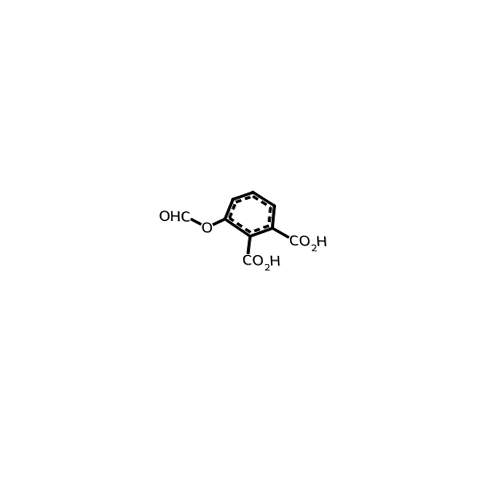 O=COc1cccc(C(=O)O)c1C(=O)O